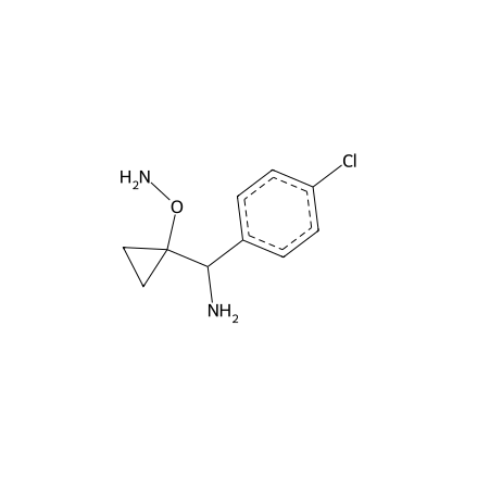 NOC1(C(N)c2ccc(Cl)cc2)CC1